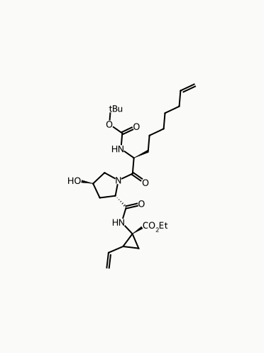 C=CCCCCC[C@H](NC(=O)OC(C)(C)C)C(=O)N1C[C@H](O)C[C@H]1C(=O)N[C@]1(C(=O)OCC)CC1C=C